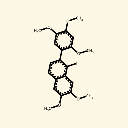 COc1cc(OC)c(-c2ccc3cc(OC)c(OC)cc3c2I)cc1OC